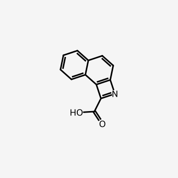 O=C(O)C1=Nc2ccc3ccccc3c21